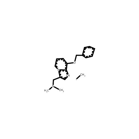 CI.CN(C)Cc1cnc2c(OCc3ccccc3)cccn12